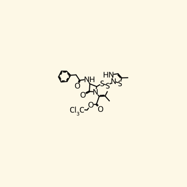 CC1=CNN(SSC2C(NC(=O)Cc3ccccc3)C(=O)N2C(C(=O)OCC(Cl)(Cl)Cl)=C(C)C)S1